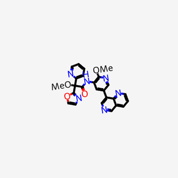 COc1ncc(-c2cncc3cccnc23)cc1NC(=O)C(OC)(c1ccccn1)c1ncco1